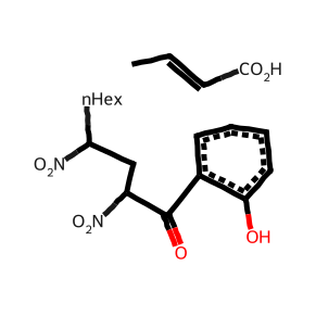 CC=CC(=O)O.CCCCCCC(CC(C(=O)c1ccccc1O)[N+](=O)[O-])[N+](=O)[O-]